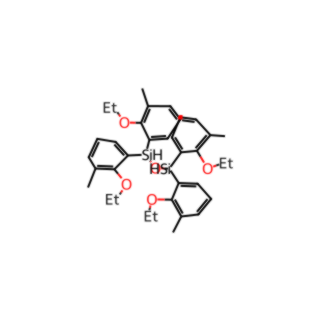 CCOc1c(C)cccc1[SiH](O[SiH](c1cccc(C)c1OCC)c1cccc(C)c1OCC)c1cccc(C)c1OCC